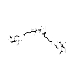 Cc1ncc([N+](=O)[O-])n1CCOC(=O)CCCC(=O)NC(=N)NC(=O)CCCC(=O)OCCn1c([N+](=O)[O-])cnc1C